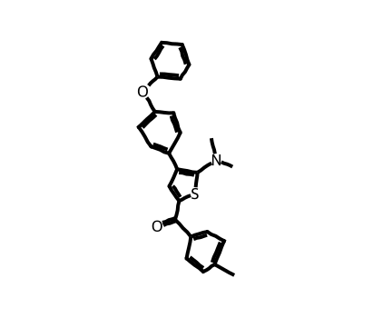 Cc1ccc(C(=O)c2cc(-c3ccc(Oc4ccccc4)cc3)c(N(C)C)s2)cc1